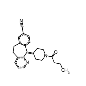 CCCC(=O)N1CCC(=C2c3ccc(C#N)cc3CCc3cccnc32)CC1